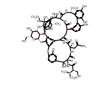 CCOC(=O)N[C@@]1(C)C[C@H](O[C@H]2[C@H](Oc3c4cc5cc3Oc3ccc(cc3Cl)[C@@H](O)[C@@H](NC(=O)[C@@H](CC(C)C)N(C)C(=O)OCC)C(=O)N[C@@H](CC(N)=O)C(=O)N[C@H]5C(=O)C[C@H]3C(=O)N[C@H](C(=O)N[C@H](C(=O)O)c5cc(O)cc(O)c5-c5cc3ccc5O)[C@H](O)c3ccc(c(Cl)c3)O4)O[C@H](CO)[C@@H](O)[C@@H]2O)O[C@@H](C)[C@H]1O